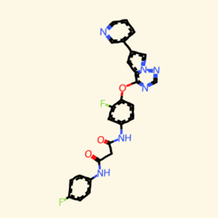 O=C(CC(=O)Nc1ccc(Oc2ncnn3cc(-c4cccnc4)cc23)c(F)c1)Nc1ccc(F)cc1